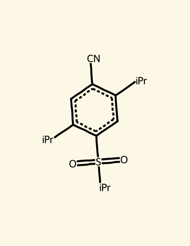 CC(C)c1cc(S(=O)(=O)C(C)C)c(C(C)C)cc1C#N